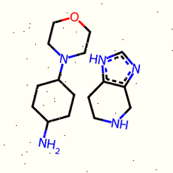 NC1CCC(N2CCOCC2)CC1.c1nc2c([nH]1)CCNC2